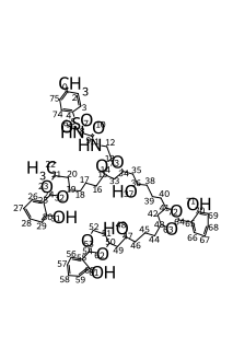 Cc1ccc(S(=O)(=O)NC(=O)NCC2OC(CCCC3CC(C)OC(c4ccccc4O)O3)CC(CC(O)CCCC3CC(CCCC(O)CC4CCOC(c5ccccc5O)O4)OC(c4ccccc4O)O3)O2)cc1